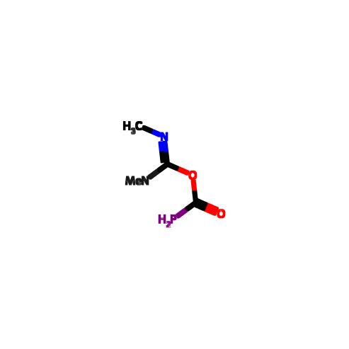 C/N=C(\NC)OC(=O)P